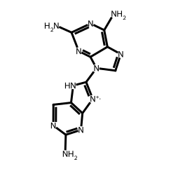 Nc1ncc2c(n1)[N+]=C(n1cnc3c(N)nc(N)nc31)N2